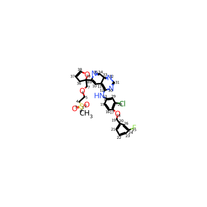 CS(=O)(=O)CCOCC1(c2cc3c(Nc4ccc(OCc5cccc(F)c5)c(Cl)c4)ncnc3cn2)CC=CO1